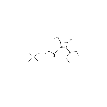 CCN(CC)C1=C(NCCCC(C)(C)C)C(O)C1=S